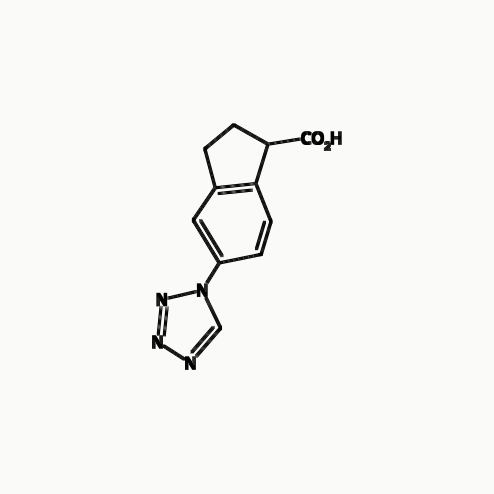 O=C(O)C1CCc2cc(-n3cnnn3)ccc21